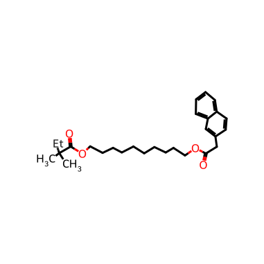 CCC(C)(C)C(=O)OCCCCCCCCCCOC(=O)Cc1ccc2ccccc2c1